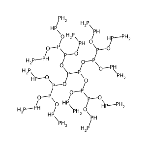 PPOP(OPP)P(OPP)OP(OP(OPP)P(OPP)OPP)P(OP(OPP)P(OPP)OPP)OP(OPP)P(OPP)OPP